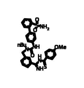 CCCCN(Cc1cccc(C(=N)NC(=S)c2ccc(OC)cc2)c1)C(=O)Nc1ccc(-c2ccccc2S(N)(=O)=O)cc1